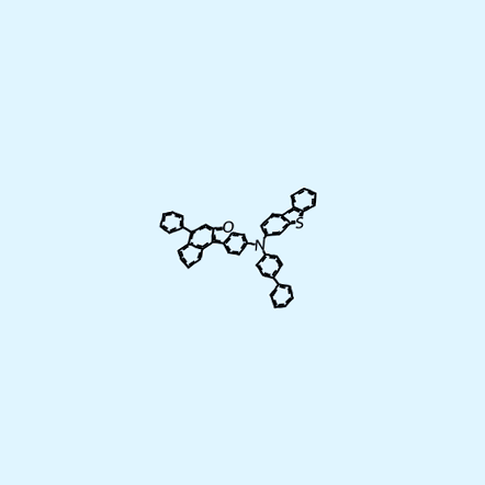 c1ccc(-c2ccc(N(c3ccc4c(c3)oc3cc(-c5ccccc5)c5ccccc5c34)c3ccc4c(c3)sc3ccccc34)cc2)cc1